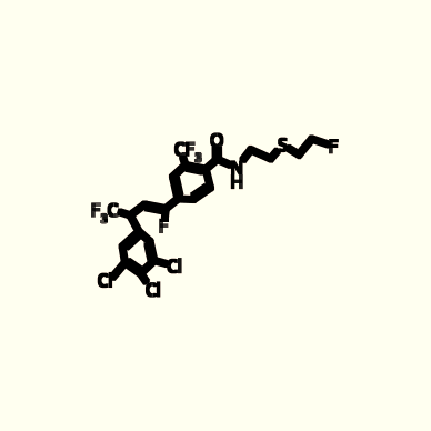 O=C(NCCSCCF)c1ccc(C(F)=CC(c2cc(Cl)c(Cl)c(Cl)c2)C(F)(F)F)cc1C(F)(F)F